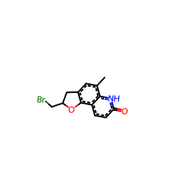 Cc1cc2c(c3ccc(=O)[nH]c13)OC(CBr)C2